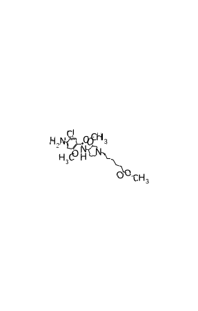 CCOC(=O)CCCCCN1CC[C@@H](NC(=O)c2cc(Cl)c(N)cc2OC)[C@@H](OC)C1